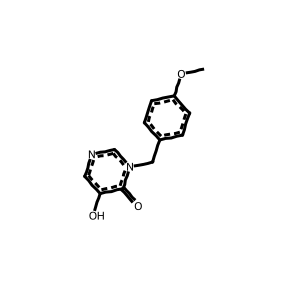 COc1ccc(Cn2cncc(O)c2=O)cc1